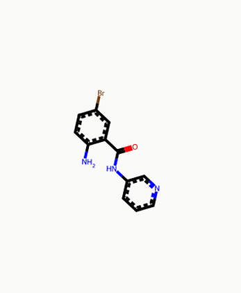 Nc1ccc(Br)cc1C(=O)Nc1cccnc1